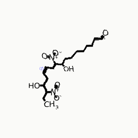 CCC(C(O)C/C=C\CC(C(O)CCCCCCC[C]=O)[N+](=O)[O-])[N+](=O)[O-]